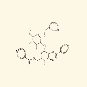 CCC1O[C@H](OCc2ccccc2)C(O[C@H]2OC(COC(=O)c3ccccc3)[C@@H](C)[C@H](O)C2OC(=O)c2ccccc2)[C@@H](C)[C@@H]1C